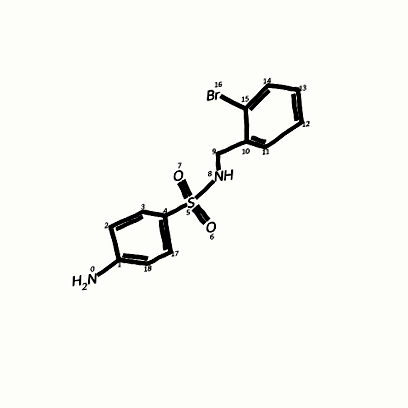 Nc1ccc(S(=O)(=O)NCc2ccccc2Br)cc1